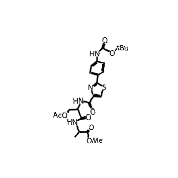 COC(=O)C(C)NC(=O)C(COC(C)=O)NC(=O)c1csc(-c2ccc(NC(=O)OC(C)(C)C)cc2)n1